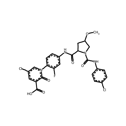 COC1CC(C(=O)Nc2ccc(-n3cc(Cl)cc(C(=O)O)c3=O)c(F)c2)N(C(=O)Nc2ccc(Cl)cc2)C1